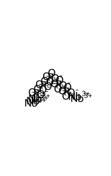 O=P([O-])([O-])[O-].O=P([O-])([O-])[O-].O=P([O-])([O-])[O-].O=P([O-])([O-])[O-].O=P([O-])([O-])[O-].[Nb+3].[Nb+3].[Nb+3].[Nb+3].[Nb+3]